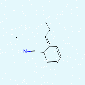 CCC=C1C=CC=CC1C#N